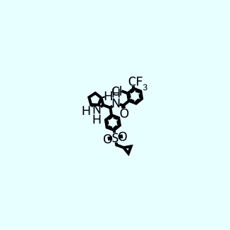 O=C(NC(c1ccc(S(=O)(=O)CC2CC2)cc1)C1N[C@@H]2CC[C@H]1C2)c1cccc(C(F)(F)F)c1Cl